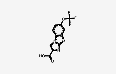 O=C(O)c1cn2c(n1)sc1cc(OC(F)(F)F)ccc12